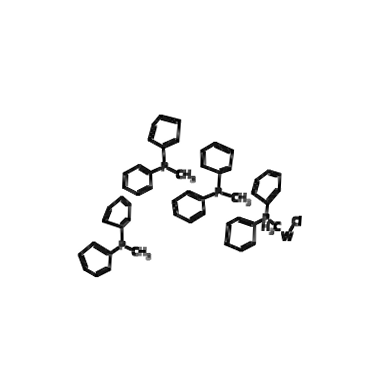 CP(c1ccccc1)c1ccccc1.CP(c1ccccc1)c1ccccc1.CP(c1ccccc1)c1ccccc1.CP(c1ccccc1)c1ccccc1.[Cl][W]